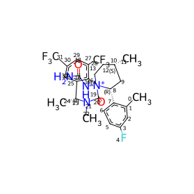 Cc1cc(F)ccc1[C@H]1C[C@@H](C)CC[N+]1(NC(N)=O)C(=O)N(C)[C@H](C)c1cc(C(F)(F)F)cc(C(F)(F)F)c1